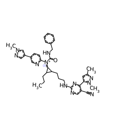 CCCC1/C(=[N+](/C(=O)NCc2ccccc2)c2ccc(-c3cnn(C)c3)cn2)C1CCCNc1ncc(C#N)c(-c2cc(C)nn2C)n1